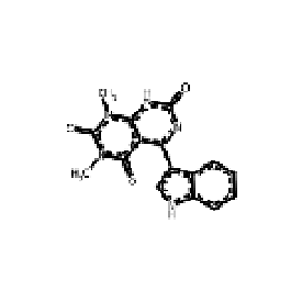 Cn1c(=O)c2c(-c3c[nH]c4ccccc34)nc(=O)[nH]c2n(C)c1=O